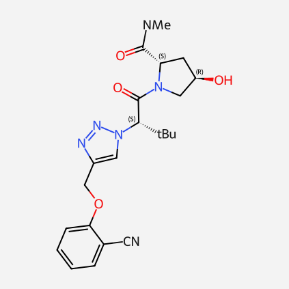 CNC(=O)[C@@H]1C[C@@H](O)CN1C(=O)[C@@H](n1cc(COc2ccccc2C#N)nn1)C(C)(C)C